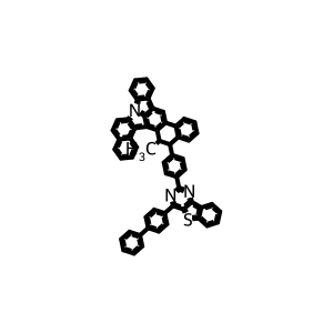 CC1c2c(cc3c4ccccc4n4c5ccc6ccccc6c5c2c34)-c2ccccc2C1c1ccc(-c2nc(-c3ccc(-c4ccccc4)cc3)c3sc4ccccc4c3n2)cc1